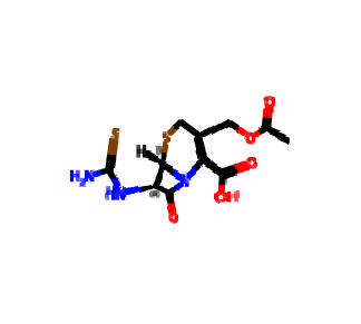 CC(=O)OCC1=C(C(=O)O)N2C(=O)[C@@H](NC(N)=S)[C@@H]2SC1